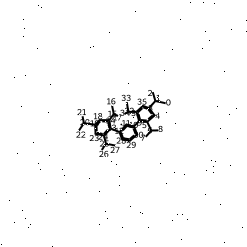 CC(C)c1cc(C(C)C)c(-c2[c]c(-c3c(C(C)C)cc(C(C)C)cc3C(C)C)ccc2)c(C(C)C)c1